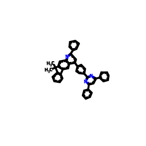 CC1(C)c2ccccc2-c2cc3c(-c4ccc(-c5nc(-c6ccccc6)cc(-c6ccccc6)n5)cc4)cc(-c4ccccc4)nc3cc21